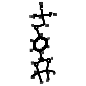 CC1(C)OB(c2ccc(OCC(F)(F)F)cc2)OC1(C)C